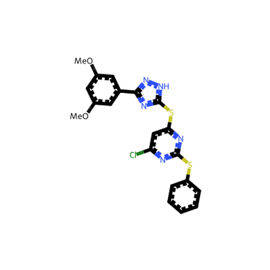 COc1cc(OC)cc(-c2n[nH]c(Sc3cc(Cl)nc(Sc4ccccc4)n3)n2)c1